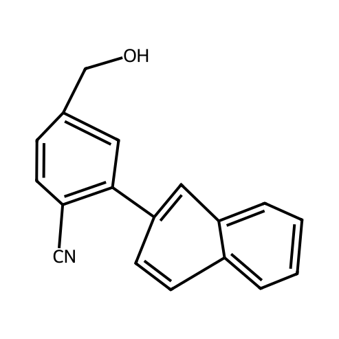 N#Cc1ccc(CO)cc1-c1ccc2ccccc2c1